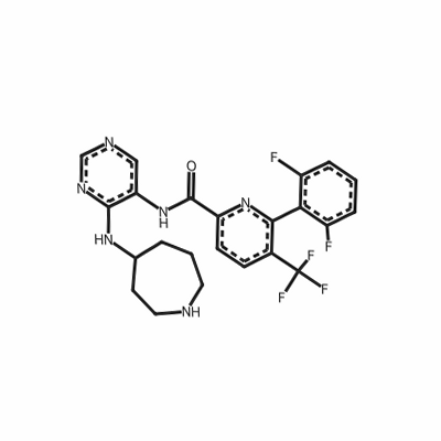 O=C(Nc1cncnc1NC1CCCNCC1)c1ccc(C(F)(F)F)c(-c2c(F)cccc2F)n1